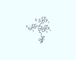 CS(=O)(=O)OCCCOCC(COC(C(F)(F)F)(C(F)(F)F)C(F)(F)F)(COC(C(F)(F)F)(C(F)(F)F)C(F)(F)F)COC(C(F)(F)F)(C(F)(F)F)C(F)(F)F